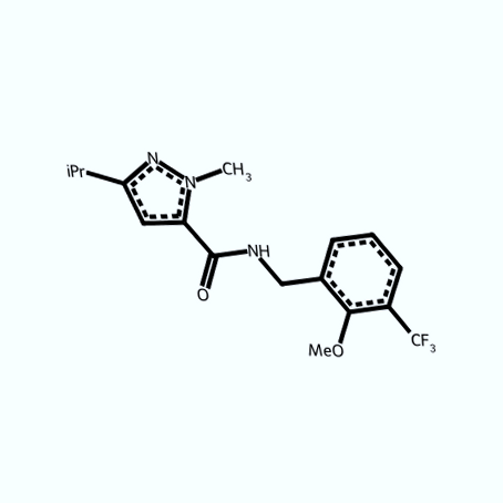 COc1c(CNC(=O)c2cc(C(C)C)nn2C)cccc1C(F)(F)F